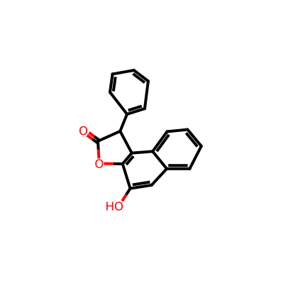 O=C1Oc2c(O)cc3ccccc3c2C1c1ccccc1